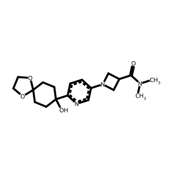 CN(C)C(=O)C1CN(c2ccc(C3(O)CCC4(CC3)OCCO4)nc2)C1